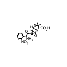 CC1(C)S[C@H]2N(C(=O)[C@]2(C)NC(=O)C(N)c2ccccc2[N+](=O)[O-])[C@H]1C(=O)O